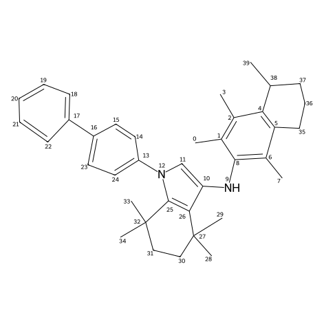 Cc1c(C)c2c(c(C)c1Nc1cn(-c3ccc(-c4ccccc4)cc3)c3c1C(C)(C)CCC3(C)C)CCCC2C